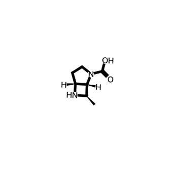 C[C@H]1N[C@@H]2CCN(C(=O)O)[C@H]12